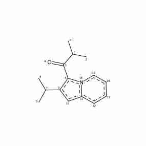 CC(C)C(=O)c1c(C(C)C)cc2ccccn12